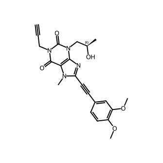 C#CCn1c(=O)c2c(nc(C#Cc3ccc(OC)c(OC)c3)n2C)n(C[C@@H](C)O)c1=O